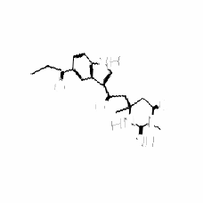 CCC(=O)c1ccc2[nH]cc(C(=O)CC3(C)CC(=O)N(C)C(=N)N3)c2c1